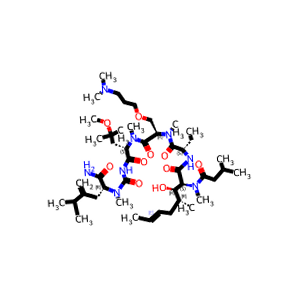 C=C(C[C@H](C(N)=O)N(C)C(=O)NC(=O)[C@H](CC(C)(C)OC)N(C)C(=O)[C@@H](COCCCN(C)C)N(C)C(=O)[C@H](CC)NC(=O)[C@H]([C@H](O)[C@H](C)C/C=C/C)N(C)C(=O)CC(C)C)C(C)C